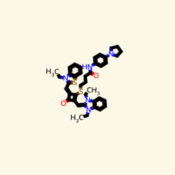 CCN1C(=CC2=C(SCCCC(=O)Nc3ccc(N4CCCC4)cc3)/C(=C\c3sc4ccccc4[n+]3CC)C2=O)N(CC)c2ccccc21